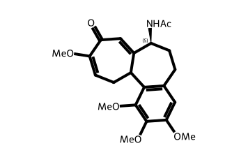 COC1=CCC2C(=CC1=O)[C@@H](NC(C)=O)CCc1cc(OC)c(OC)c(OC)c12